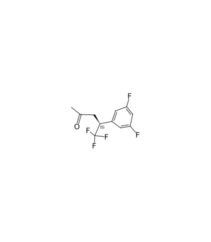 CC(=O)C[C@@H](c1cc(F)cc(F)c1)C(F)(F)F